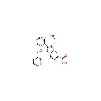 O=C(O)c1ccc2cc3n(c2c1)CCNCc1cccc(OCc2cccnn2)c1-3